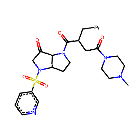 CC(C)CC(CC(=O)N1CCN(C)CC1)C(=O)N1CCC2C1C(=O)CN2S(=O)(=O)c1cccnc1